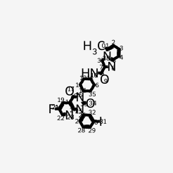 CC1=CC=CC2=NC(C(=O)NC3CCC(n4c(=O)c5cc(F)cnc5n(-c5cccc(I)c5)c4=O)CC3)CN12